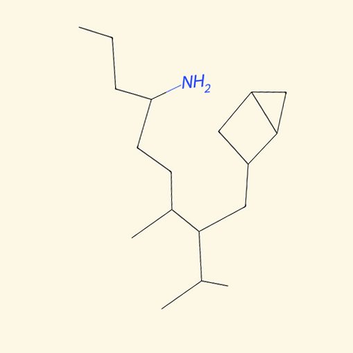 CCCC(N)CCC(C)C(CC1CC2CC12)C(C)C